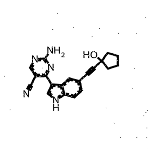 N#Cc1cnc(N)nc1-c1c[nH]c2ccc(C#CC3(O)CCCC3)cc12